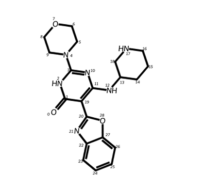 O=c1[nH]c(N2CCOCC2)nc(NC2CCCNC2)c1-c1nc2ccccc2o1